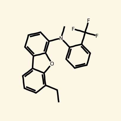 CCc1cccc2c1oc1c(N(C)c3ccccc3C(F)(F)F)cccc12